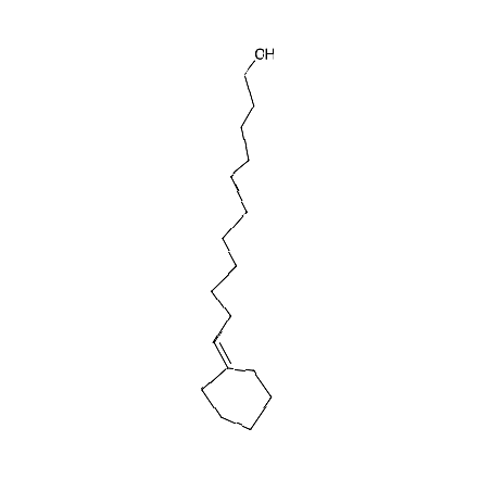 OCCCCCCCCCCC=C1CCCCC1